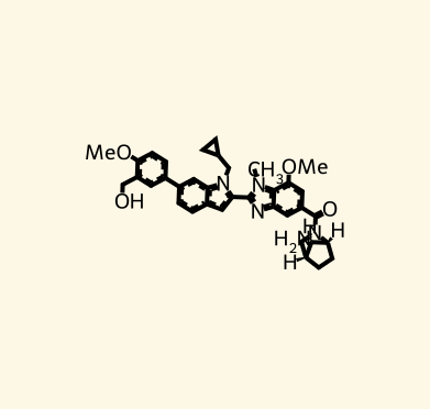 COc1ccc(-c2ccc3cc(-c4nc5cc(C(=O)N6C[C@H]7CC[C@@H]6[C@@H]7N)cc(OC)c5n4C)n(CC4CC4)c3c2)cc1CO